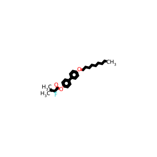 CCCCCCCCCOc1ccc(-c2ccc(OC(=O)C(F)C(C)C)cc2)cc1